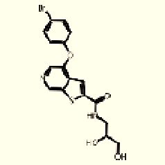 O=C(NCC(O)CO)c1cc2c(Oc3ccc(Br)cc3)cncc2s1